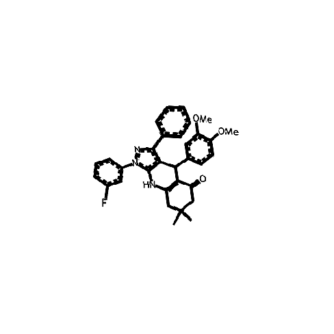 COc1ccc(C2C3=C(CC(C)(C)CC3=O)Nc3c2c(-c2ccccc2)nn3-c2cccc(F)c2)cc1OC